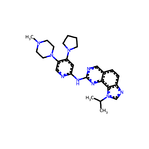 CC(C)n1cnc2ccc3cnc(Nc4cc(N5CCCC5)c(N5CCN(C)CC5)cn4)nc3c21